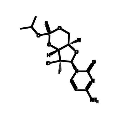 CC(C)OP1(=S)OC[C@H]2O[C@@H](n3ccc(N)nc3=O)[C@@](F)(Cl)[C@@H]2O1